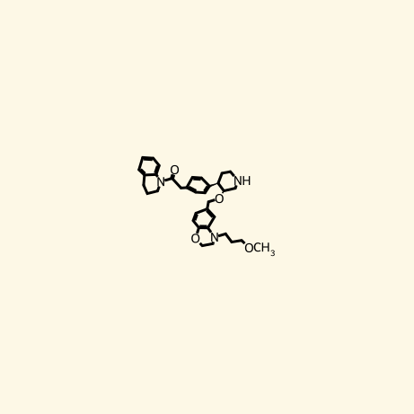 COCCCN1CCOc2ccc(CO[C@H]3CNCC[C@@H]3c3ccc(CC(=O)N4CCCc5ccccc54)cc3)cc21